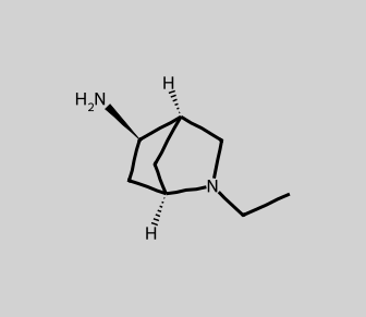 CCN1C[C@H]2C[C@@H]1C[C@H]2N